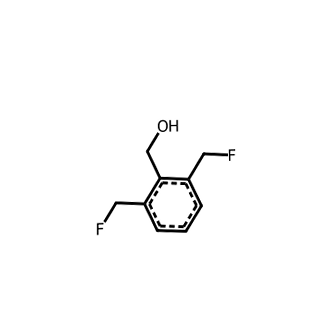 OCc1c(CF)cccc1CF